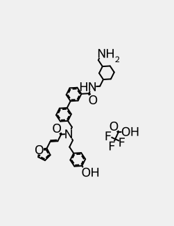 NCC1CCCC(CNC(=O)c2cccc(-c3cccc(CN(CCc4ccc(O)cc4)C(=O)C=Cc4ccco4)c3)c2)C1.O=C(O)C(F)(F)F